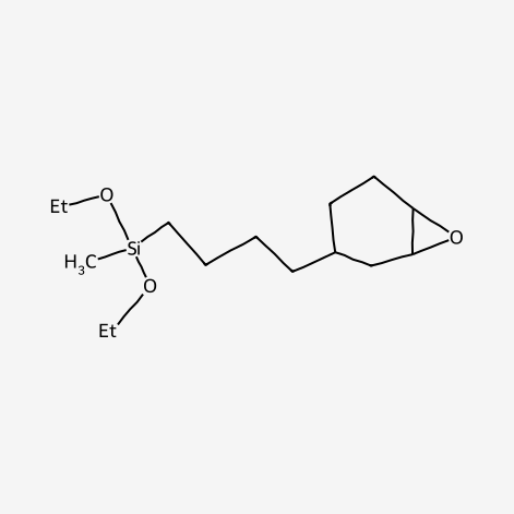 CCO[Si](C)(CCCCC1CCC2OC2C1)OCC